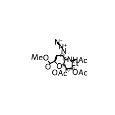 CC[C@@H](OC(C)=O)[C@@H](OC(C)=O)[C@@H]1OC(C(=O)OC)=C[C@H](N=[N+]=[N-])[C@H]1NC(C)=O